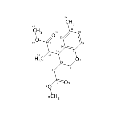 COC(=O)CC1COc2ccc(C)cc2C1C(C)C(=O)OC